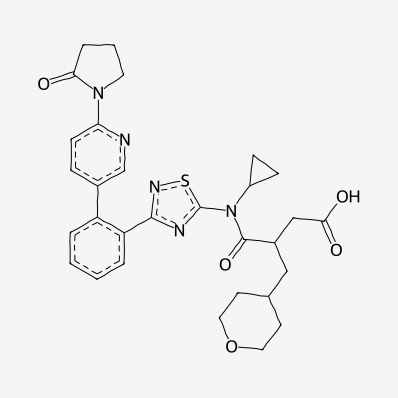 O=C(O)CC(CC1CCOCC1)C(=O)N(c1nc(-c2ccccc2-c2ccc(N3CCCC3=O)nc2)ns1)C1CC1